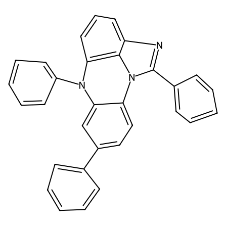 c1ccc(-c2ccc3c(c2)N(c2ccccc2)c2cccc4nc(-c5ccccc5)n-3c24)cc1